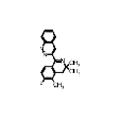 Cc1c(F)ccc2c1CC(C)(C)N=C2c1cc2ccccc2nn1